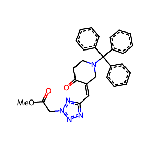 COC(=O)Cn1nnc(/C=C2/CN(C(c3ccccc3)(c3ccccc3)c3ccccc3)CCC2=O)n1